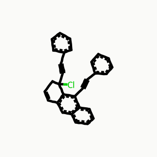 ClC1(C#Cc2ccccc2)CC=Cc2cc3ccccc3c(C#Cc3ccccc3)c21